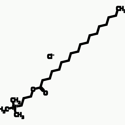 CCCCCCCCCCCCCCCCCC(=O)OCCC[N+](C)(C)C.[Cl-]